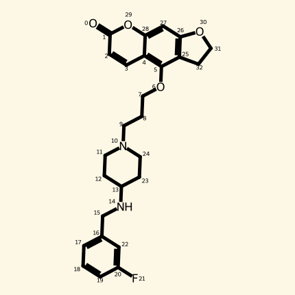 O=c1ccc2c(OCCCN3CCC(NCc4cccc(F)c4)CC3)c3c(cc2o1)OCC3